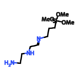 CO[Si](CCCN=CCNCCN)(OC)OC